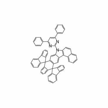 c1ccc(-c2cc(-c3ccccc3)nc(-n3c4cc5c(cc4c4c6ccccc6ccc43)C3(c4ccccc4-c4ccccc43)c3ccccc3C53c4ccccc4-c4ccccc43)n2)cc1